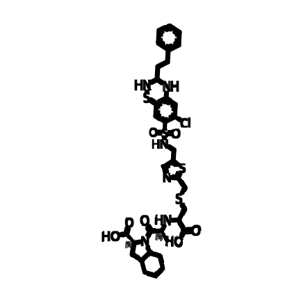 C[C@H](NC(CSCc1ncc(CNS(=O)(=O)c2cc3c(cc2Cl)NC(CCc2ccccc2)NS3)s1)C(=O)O)C(=O)N1C2CCCCC2C[C@H]1C(=O)O